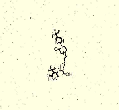 C[C@@H](O)[C@@H](COCCCN1CCN(c2ncc(C(F)(F)F)cn2)C(=O)C1)Nc1cn[nH]c(=O)c1C(F)(F)F